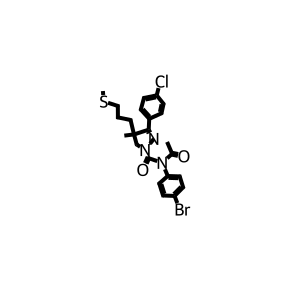 CSCCCC1(C)CN(C(=O)N(C(C)=O)c2ccc(Br)cc2)N=C1c1ccc(Cl)cc1